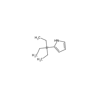 CC[B-](CC)(CC)c1ccc[nH]1